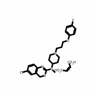 CN(C1=Nc2ccc(Cl)cc2CS1)C1CCN(CCCOc2ccc(F)cc2)CC1.O=C(O)/C=C\C(=O)O